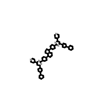 c1ccc(-c2ccc(-c3cc(-c4ccncc4)nc(-c4ccc(-c5cccc6c(-c7ccc(-c8nc(-c9ccncc9)cc(-c9ccc(-c%10ccccc%10)cc9)n8)cc7)cccc56)cc4)n3)cc2)cc1